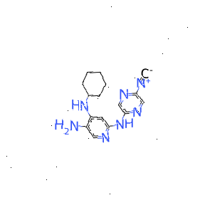 [C-]#[N+]c1cnc(Nc2cc(NC3CCCCC3)c(N)cn2)cn1